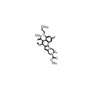 C=N/C(=C(\C(=C)SC)c1c(F)cc(F)cc1OCCOC)c1cc2n(n1)C[C@@H](C)N(C(=O)OC(C)(C)C)C2